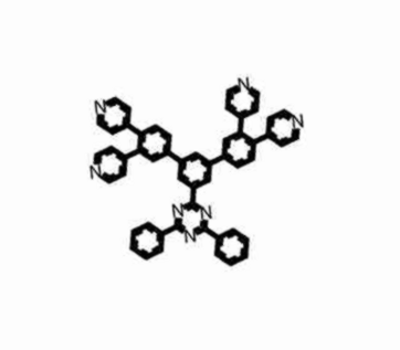 c1ccc(-c2nc(-c3ccccc3)nc(-c3cc(-c4ccc(-c5ccncc5)c(-c5ccncc5)c4)cc(-c4ccc(-c5ccncc5)c(-c5ccncc5)c4)c3)n2)cc1